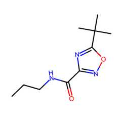 CCCNC(=O)c1noc(C(C)(C)C)n1